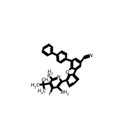 Bc1nc(-c2cccc3c2oc2c(-c4ccc(-c5ccccc5)cc4)cc(C#N)cc23)c(B)c(F)c1C(C)(C)C